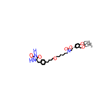 CC1(C)OCc2cc([C@@H]3CN(CCCCCCOCCCCc4ccc(CC5NC(=O)NC5=O)cc4)C(=O)O3)ccc2O1